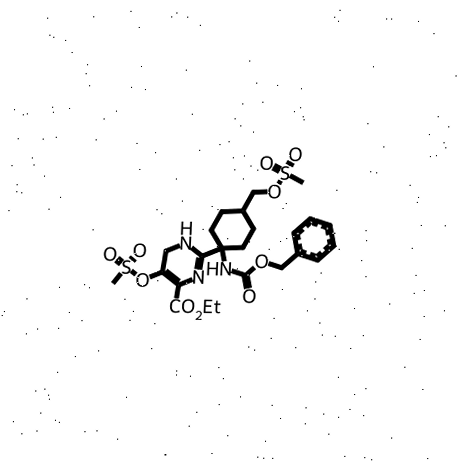 CCOC(=O)C1=C(OS(C)(=O)=O)CNC(C2(NC(=O)OCc3ccccc3)CCC(COS(C)(=O)=O)CC2)=N1